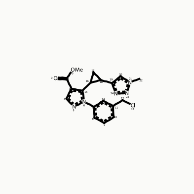 COC(=O)c1cnn(-c2cccc(CCl)c2)c1C1CC1c1cn(C)nn1